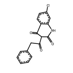 O=C(Cc1ccccc1)C1C(=O)Nc2cc(Cl)ccc2C1=O